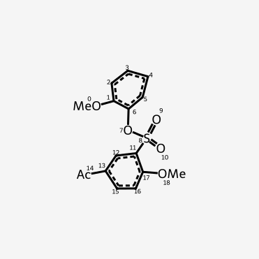 COc1ccccc1OS(=O)(=O)c1cc(C(C)=O)ccc1OC